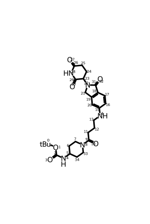 CC(C)(C)OC(=O)NC1CCN(C(=O)CCCNc2ccc3c(c2)CN(C2CCC(=O)NC2=O)C3=O)CC1